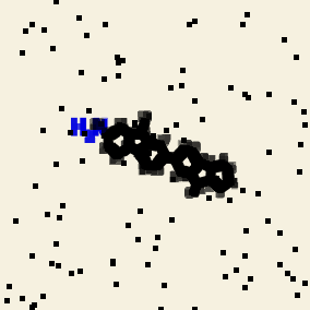 CC1c2ccccc2-c2ccc(-c3ccc4c(c3)C(C)c3cc(N)ccc3-4)cc21